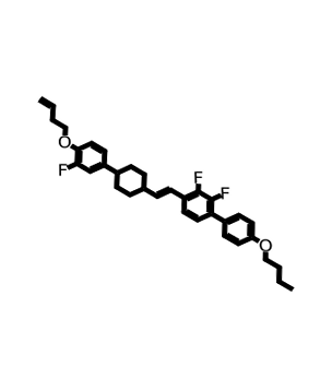 C=CCCOc1ccc(C2CCC(/C=C/c3ccc(-c4ccc(OCCCC)cc4)c(F)c3F)CC2)cc1F